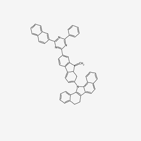 C=C1c2cc(-c3nc(-c4ccccc4)nc(-c4ccc5ccccc5c4)n3)ccc2C2=CC=C(n3c4c(c5ccc6ccccc6c53)CCc3ccccc3-4)CC12